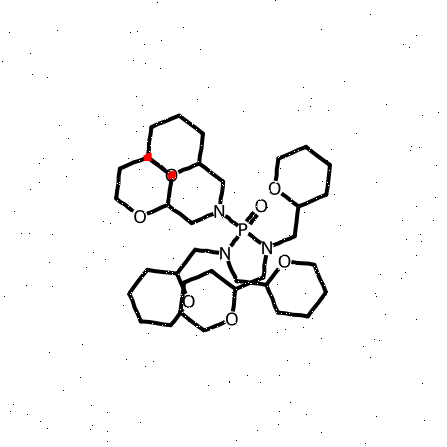 O=P(N(CC1CCCCO1)CC1CCCCO1)(N(CC1CCCCO1)CC1CCCCO1)N(CC1CCCCO1)CC1CCCCO1